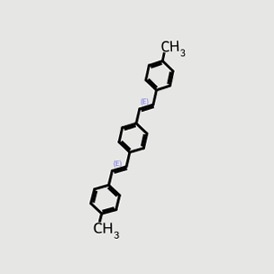 Cc1ccc(/C=C/c2ccc(/C=C/c3ccc(C)cc3)cc2)cc1